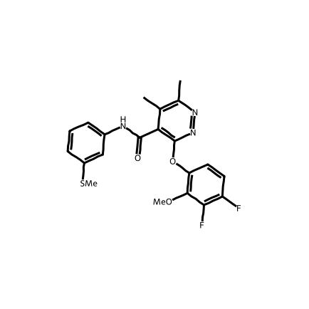 COc1c(Oc2nnc(C)c(C)c2C(=O)Nc2cccc(SC)c2)ccc(F)c1F